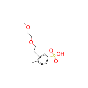 COCCOCCc1cc(S(=O)(=O)O)ccc1C